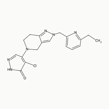 CCc1cccc(Cn2cc3c(n2)CCN(c2cn[nH]c(=O)c2Cl)C3)n1